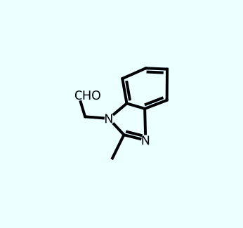 Cc1nc2ccccc2n1CC=O